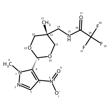 Cn1ncc([N+](=O)[O-])c1[C@H]1OC[C@@](C)(CNC(=O)C(F)(F)F)CO1